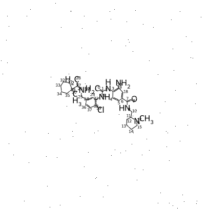 C=C(Nc1ccc(C(=O)NCC2CCCCN2C)cc1N)Nc1cc(CNC(=C)C2(C)CCCCC2)ccc1Cl